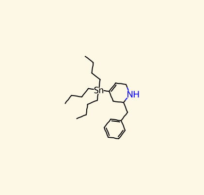 CCC[CH2][Sn]([CH2]CCC)([CH2]CCC)[C]1=CCNC(Cc2ccccc2)C1